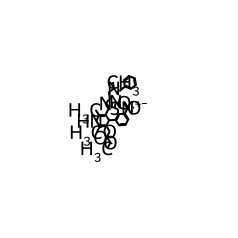 COC(=O)OC1=C(C)NC(C)=C(c2nc(CN(C)Cc3ccccc3)ns2)C1c1cccc([N+](=O)[O-])c1